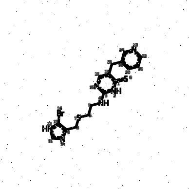 S=c1[nH]c(NCCSCc2nc[nH]c2Br)ncc1Cc1cccnc1